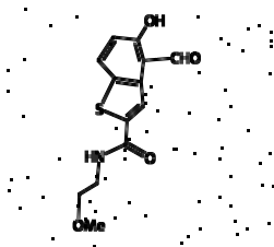 COCCNC(=O)c1cc2c(C=O)c(O)ccc2s1